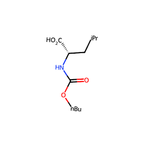 CCCCOC(=O)N[C@@H](CC(C)C)C(=O)O